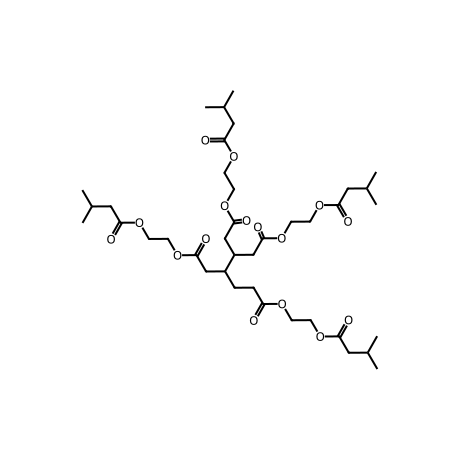 CC(C)CC(=O)OCCOC(=O)CCC(CC(=O)OCCOC(=O)CC(C)C)C(CC(=O)OCCOC(=O)CC(C)C)CC(=O)OCCOC(=O)CC(C)C